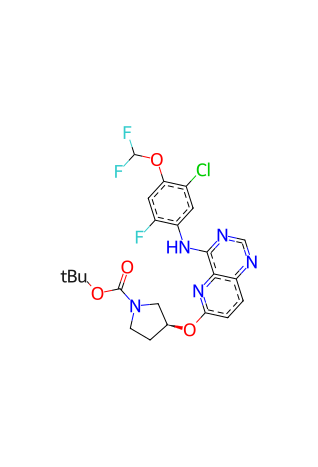 CC(C)(C)OC(=O)N1CC[C@H](Oc2ccc3ncnc(Nc4cc(Cl)c(OC(F)F)cc4F)c3n2)C1